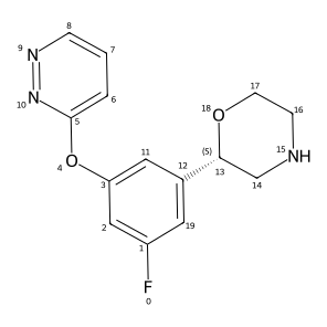 Fc1cc(Oc2cccnn2)cc([C@H]2CNCCO2)c1